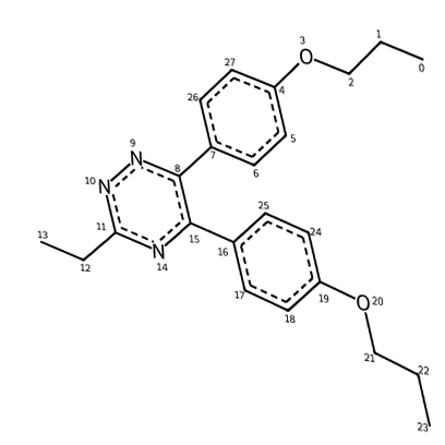 CCCOc1ccc(-c2nnc(CC)nc2-c2ccc(OCCC)cc2)cc1